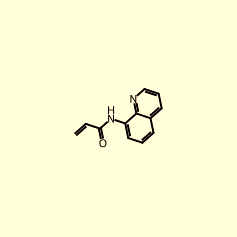 C=CC(=O)Nc1cccc2cccnc12